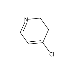 ClC1=CC=NCC1